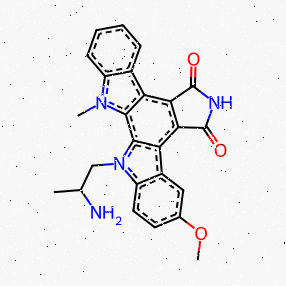 COc1ccc2c(c1)c1c3c(c4c5ccccc5n(C)c4c1n2CC(C)N)C(=O)NC3=O